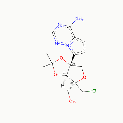 CC1(C)O[C@@H]2[C@](CO)(CCl)OC[C@@]2(c2ccc3c(N)ncnn23)O1